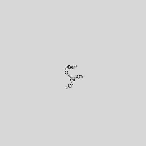 O=[Si]([O-])[O-].[Be+2]